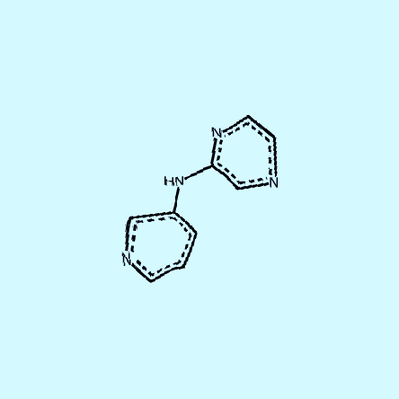 c1cncc(Nc2cnccn2)c1